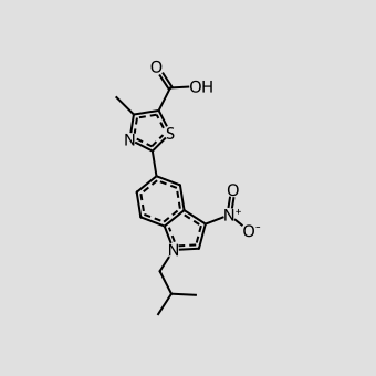 Cc1nc(-c2ccc3c(c2)c([N+](=O)[O-])cn3CC(C)C)sc1C(=O)O